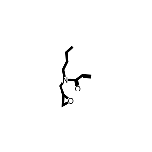 C=CC(=O)N(CCCC)CC1CO1